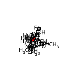 CCCCSC1CC(=O)N(CCCCCC(=O)N(C)C(C(=O)NCC(=O)N(C)[C@@H]([C@@H](C)CC)[C@@H](CC(=O)N2C3C(C[C@H]2[C@H](OC)[C@@H](C)C(=O)N[C@@H](Cc2ccccc2F)C(=O)O)[C@@H]3C)OC)C(C)C)C1=O